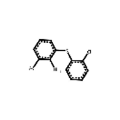 CC(=O)c1cccc(Sc2ccccc2Cl)c1N